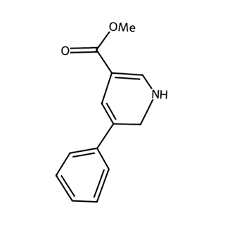 COC(=O)C1=CNCC(c2ccccc2)=C1